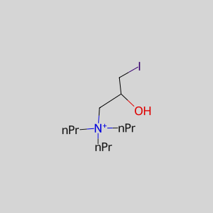 CCC[N+](CCC)(CCC)CC(O)CI